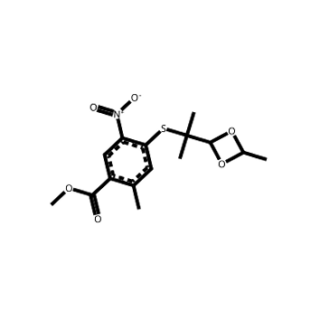 COC(=O)c1cc([N+](=O)[O-])c(SC(C)(C)C2OC(C)O2)cc1C